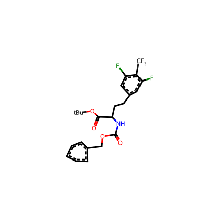 CC(C)(C)OC(=O)C(CCc1cc(F)c(C(F)(F)F)c(F)c1)NC(=O)OCc1ccccc1